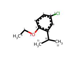 CCOc1ccc(Cl)cc1C(C)C